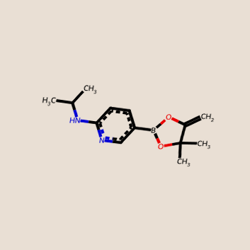 C=C1OB(c2ccc(NC(C)C)nc2)OC1(C)C